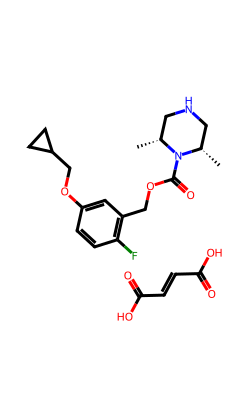 C[C@@H]1CNC[C@H](C)N1C(=O)OCc1cc(OCC2CC2)ccc1F.O=C(O)C=CC(=O)O